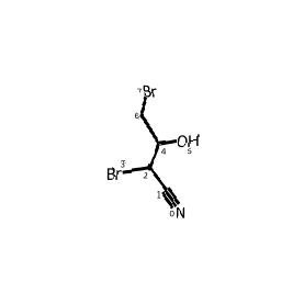 N#CC(Br)C(O)CBr